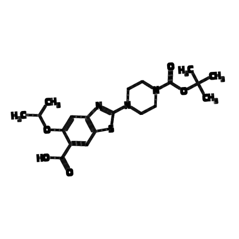 CC(C)Oc1cc2nc(N3CCN(C(=O)OC(C)(C)C)CC3)sc2cc1C(=O)O